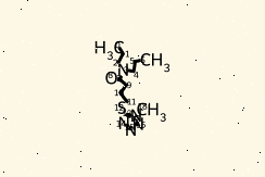 CCCN(CCC)C(=O)CCCSc1nnnn1C